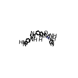 CN1CCC(N/C=C(\C=N)NC(=O)c2cc3ccc(-c4nccc(Nc5ccc6[nH]ncc6c5)n4)cc3[nH]2)CC1